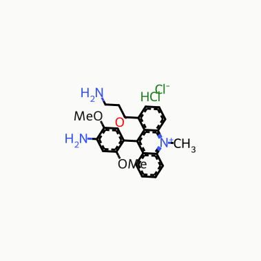 COc1cc(-c2c3ccccc3[n+](C)c3cccc(C(=O)CCN)c23)c(OC)cc1N.Cl.[Cl-]